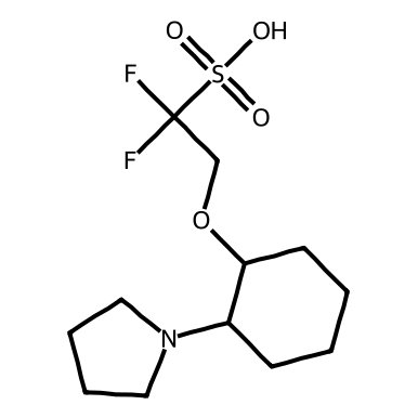 O=S(=O)(O)C(F)(F)COC1CCCCC1N1CCCC1